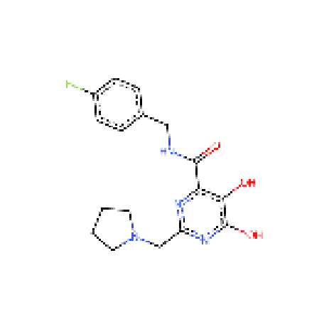 O=C(NCc1ccc(F)cc1)c1nc(CN2CCCC2)nc(O)c1O